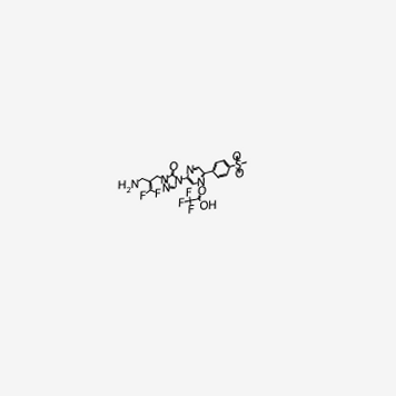 CS(=O)(=O)c1ccc(-c2cnc(-n3cnn(CC(CN)=C(F)F)c3=O)cn2)cc1.O=C(O)C(F)(F)F